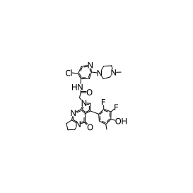 Cc1cc(-c2cn(CC(=O)Nc3cc(N4CCN(C)CC4)ncc3Cl)c3nc4n(c(=O)c23)CCC4)c(F)c(F)c1O